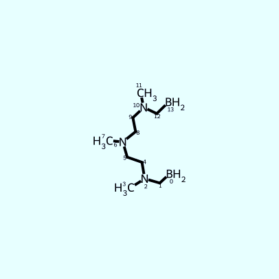 BCN(C)CCN(C)CCN(C)CB